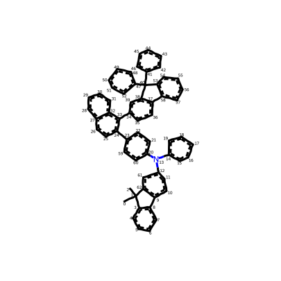 CC1(C)c2ccccc2-c2ccc(N(c3ccccc3)c3ccc(-c4ccc5ccccc5c4-c4ccc5c(c4)C(c4ccccc4)(c4ccccc4)c4ccccc4-5)cc3)cc21